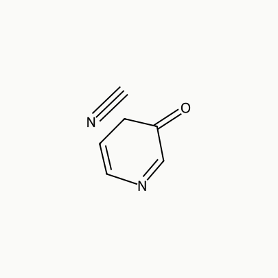 C#N.O=C1C=NC=CC1